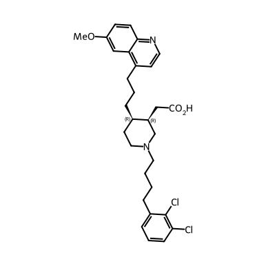 COc1ccc2nccc(CCC[C@@H]3CCN(CCCCc4cccc(Cl)c4Cl)C[C@@H]3CC(=O)O)c2c1